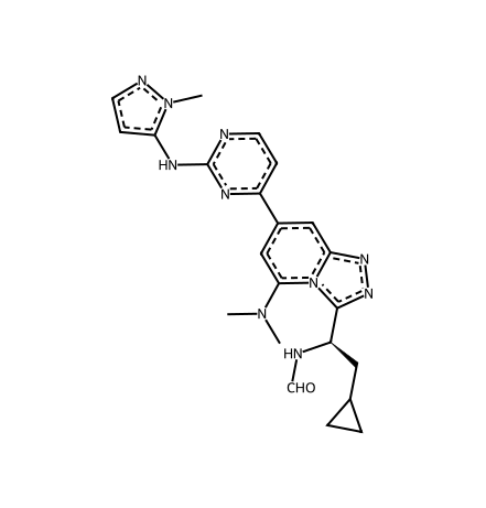 CN(C)c1cc(-c2ccnc(Nc3ccnn3C)n2)cc2nnc([C@@H](CC3CC3)NC=O)n12